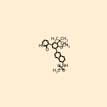 COc1c(-c2ccc3cc(NS(C)(=O)=O)ccc3c2)cc(-c2ccc[nH]c2=O)cc1C(C)(C)C